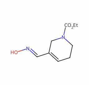 CCOC(=O)N1CCC=C(/C=N/O)C1